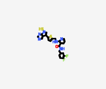 O=C(NCc1ccc(F)c(F)c1)c1cccnc1NCc1ccc(-c2cn(S)c3ncncc23)s1